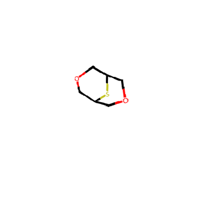 C1OCC2COCC1S2